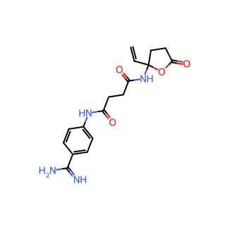 C=CC1(NC(=O)CCC(=O)Nc2ccc(C(=N)N)cc2)CCC(=O)O1